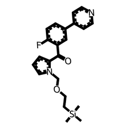 C[Si](C)(C)CCOCn1cccc1C(=O)c1cc(-c2ccncc2)ccc1F